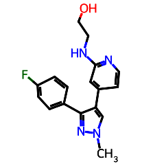 Cn1cc(-c2ccnc(NCCO)c2)c(-c2ccc(F)cc2)n1